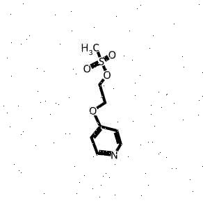 CS(=O)(=O)OCCOc1ccncc1